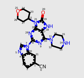 N#Cc1ccc2ncn(-c3nc(N4CCNCC4)c4[nH]c(=O)n(C5CCOCC5)c4n3)c2c1